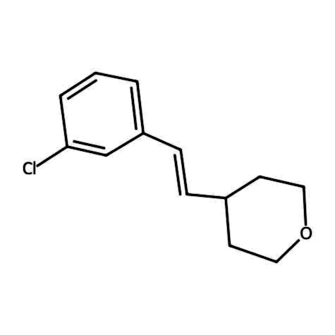 Clc1cccc(C=CC2CCOCC2)c1